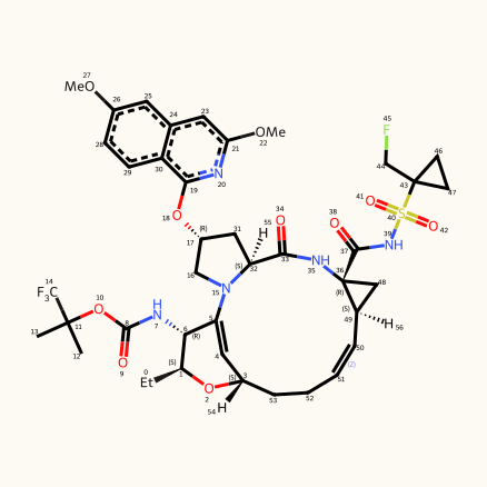 CC[C@@H]1O[C@@H]2C=C([C@H]1NC(=O)OC(C)(C)C(F)(F)F)N1C[C@H](Oc3nc(OC)cc4cc(OC)ccc34)C[C@H]1C(=O)N[C@]1(C(=O)NS(=O)(=O)C3(CF)CC3)C[C@H]1/C=C\CC2